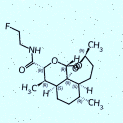 C[C@H]1[C@H](C(=O)NCCF)O[C@@H]2O[C@@]3(C)CC[C@H]4[C@H](C)CC[C@@H]1[C@@]24OO3